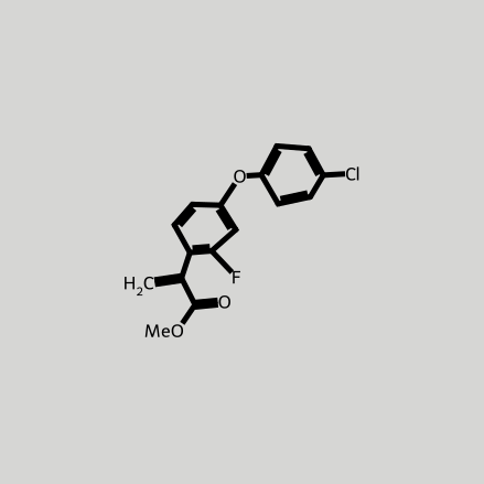 C=C(C(=O)OC)c1ccc(Oc2ccc(Cl)cc2)cc1F